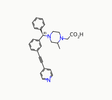 CC1CN([C@H](c2ccccc2)c2cccc(C#Cc3ccncc3)c2)CCN1CC(=O)O